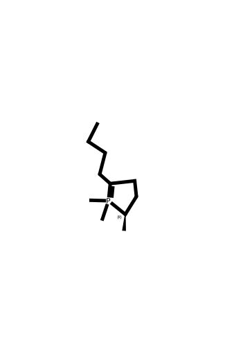 CCCCC1=P(C)(C)[C@H](C)CC1